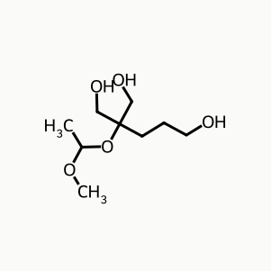 COC(C)OC(CO)(CO)CCCO